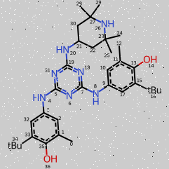 Cc1cc(Nc2nc(Nc3cc(C)c(O)c(C(C)(C)C)c3)nc(NC3CC(C)(C)NC(C)(C)C3)n2)cc(C(C)(C)C)c1O